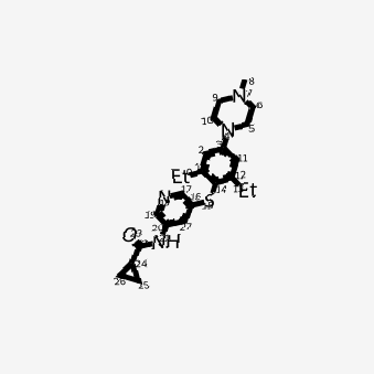 CCc1cc(N2CCN(C)CC2)cc(CC)c1Sc1cncc(NC(=O)C2CC2)c1